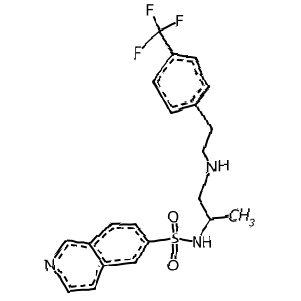 CC(CNCCc1ccc(C(F)(F)F)cc1)NS(=O)(=O)c1ccc2cnccc2c1